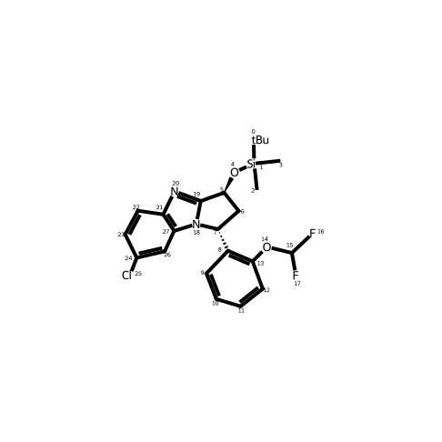 CC(C)(C)[Si](C)(C)O[C@H]1C[C@H](c2[c]cccc2OC(F)F)n2c1nc1ccc(Cl)cc12